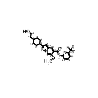 COc1cn2nc(C3CCC(CCO)CC3)cc2cc1C(=O)Nc1cccc(C(F)(F)F)n1